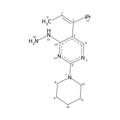 C/C=C(\c1cnc(N2CCCCC2)nc1NN)C(C)C